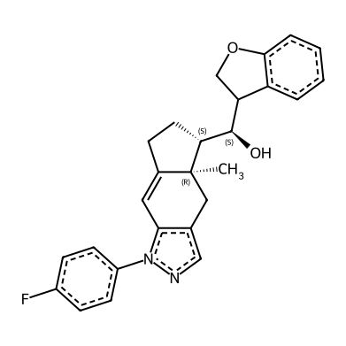 C[C@]12Cc3cnn(-c4ccc(F)cc4)c3C=C1CC[C@@H]2[C@H](O)C1COc2ccccc21